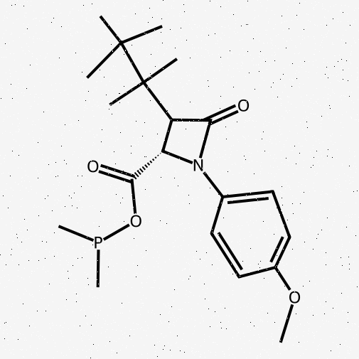 COc1ccc(N2C(=O)C(C(C)(C)C(C)(C)C)[C@H]2C(=O)OP(C)C)cc1